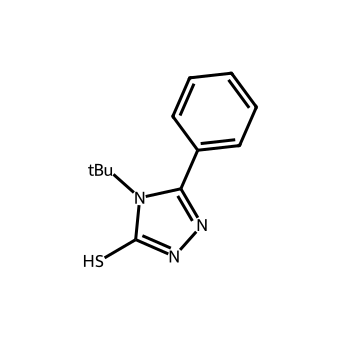 CC(C)(C)n1c(S)nnc1-c1ccccc1